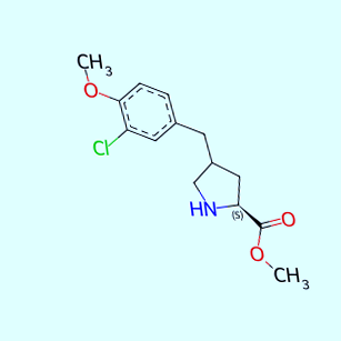 COC(=O)[C@@H]1CC(Cc2ccc(OC)c(Cl)c2)CN1